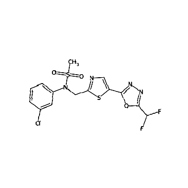 CS(=O)(=O)N(Cc1ncc(-c2nnc(C(F)F)o2)s1)c1cccc(Cl)c1